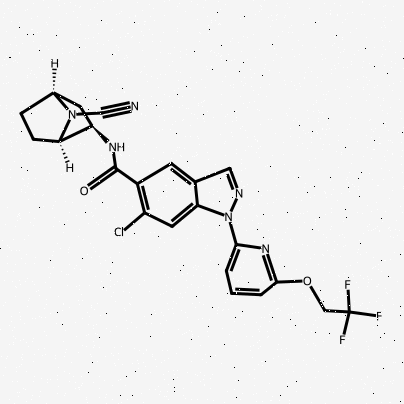 N#CN1[C@H]2CC[C@@H]1[C@H](NC(=O)c1cc3cnn(-c4cccc(OCC(F)(F)F)n4)c3cc1Cl)C2